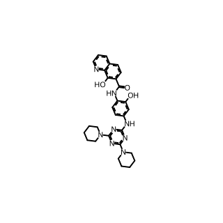 O=C(Nc1ccc(Nc2nc(N3CCCCC3)nc(N3CCCCC3)n2)cc1O)c1ccc2cccnc2c1O